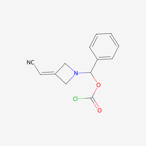 N#CC=C1CN(C(OC(=O)Cl)c2ccccc2)C1